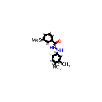 CSc1cccc(C(=O)NNc2ccc([N+](=O)[O-])c(C)c2)c1